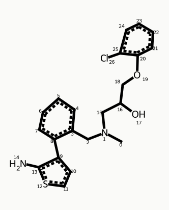 CN(Cc1ccccc1-c1ccsc1N)CC(O)COc1ccccc1Cl